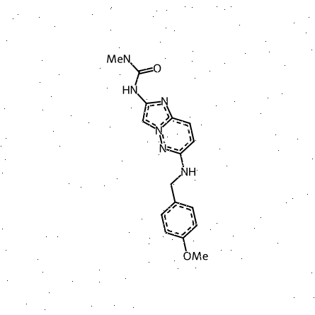 CNC(=O)Nc1cn2nc(NCc3ccc(OC)cc3)ccc2n1